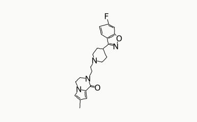 Cc1cc2n(c1)CCN(CCN1CCC(c3noc4cc(F)ccc34)CC1)C2=O